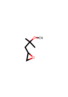 CC(C)(CC1CO1)OC#N